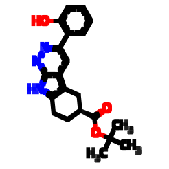 CC(C)(C)OC(=O)[C@H]1CCc2[nH]c3nnc(-c4ccccc4O)cc3c2C1